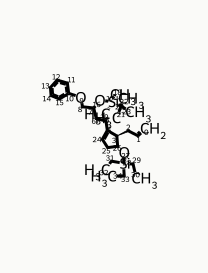 C=CC[C@@H]1C(CCC(COc2ccccc2)O[Si](C)(C)C(C)(C)C)=CC[C@@H]1O[Si](CC)(CC)CC